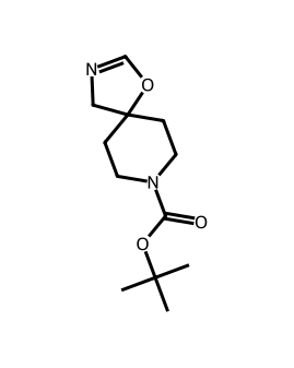 CC(C)(C)OC(=O)N1CCC2(CC1)CN=CO2